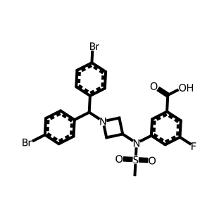 CS(=O)(=O)N(c1cc(F)cc(C(=O)O)c1)C1CN(C(c2ccc(Br)cc2)c2ccc(Br)cc2)C1